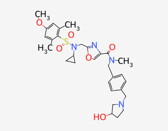 COc1cc(C)c(S(=O)(=O)N(Cc2nc(C(=O)N(C)Cc3ccc(CN4CCC(O)C4)cc3)co2)C2CC2)c(C)c1